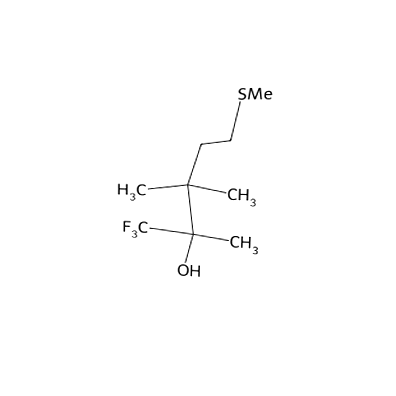 CSCCC(C)(C)C(C)(O)C(F)(F)F